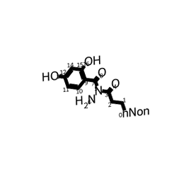 CCCCCCCCCCCC(=O)N(N)C(=O)c1ccc(O)cc1O